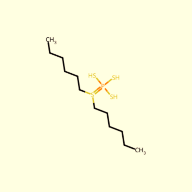 CCCCCCS(CCCCCC)=P(S)(S)S